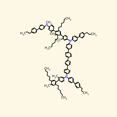 CCCCCCc1cc(-c2ccc(N(c3ccc(-c4ccc(CCC)cc4)cc3)c3ccc(-c4ccc(-c5ccc(-c6ccc(N(c7ccc(-c8ccc(CCC)cc8)cc7)c7ccc(-c8cc(CCCCCC)c(-c9ccc(N(C)c%10ccc(-c%11ccc(CCC)cc%11)cc%10)cc9C)cc8CCCCCC)c(C)c7)cc6)cc5)cc4)cc3)cc2C)c(CCCCCC)cc1C